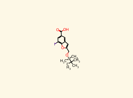 CC(C)(C)[Si](C)(C)OCc1cc2cc(C(=O)O)cc(I)c2o1